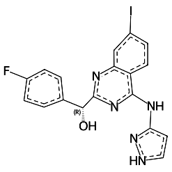 O[C@H](c1ccc(F)cc1)c1nc(Nc2cc[nH]n2)c2ccc(I)cc2n1